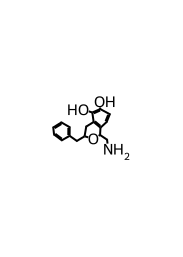 NCC1OC(Cc2ccccc2)Cc2c1ccc(O)c2O